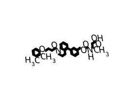 Cc1cccc(OCCCC(=O)N2CCCc3c(-c4cccc(COC(=O)N[C@@H](C)CC(=O)O)c4)cccc32)c1C